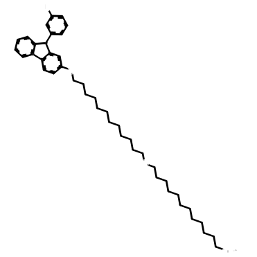 CCCCCCCCCCCCCCCCCCCCCCOCCCCCCCCCCCCOc1ccc2c(c1)[C](c1cccc(F)c1)c1ccccc1-2